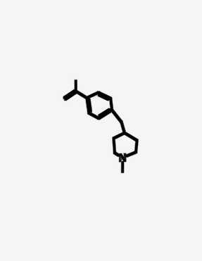 C=C(C)c1ccc(CC2CCN(C)CC2)cc1